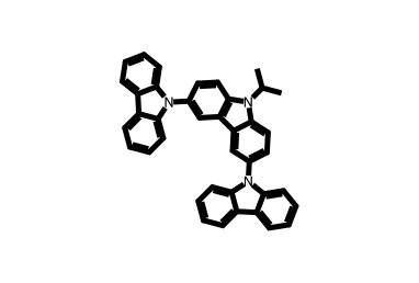 CC(C)n1c2ccc(-n3c4ccccc4c4ccccc43)cc2c2cc(-n3c4ccccc4c4ccccc43)ccc21